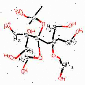 C[Si](C)(O)O[Si](O[SiH2]O)([Si](O)([SiH2]O)[SiH2]O)[Si](O[SiH2]O)([SiH2]O)[SiH2]O